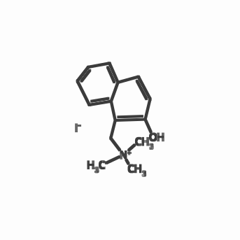 C[N+](C)(C)Cc1c(O)ccc2ccccc12.[I-]